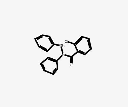 O=C(c1ccccc1Cl)N(Nc1ccccc1)c1ccccc1